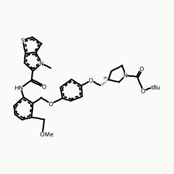 COCc1cccc(NC(=O)c2cc3sccc3n2C)c1COc1ccc(OC[C@@H]2CCN(C(=O)OC(C)(C)C)C2)cc1